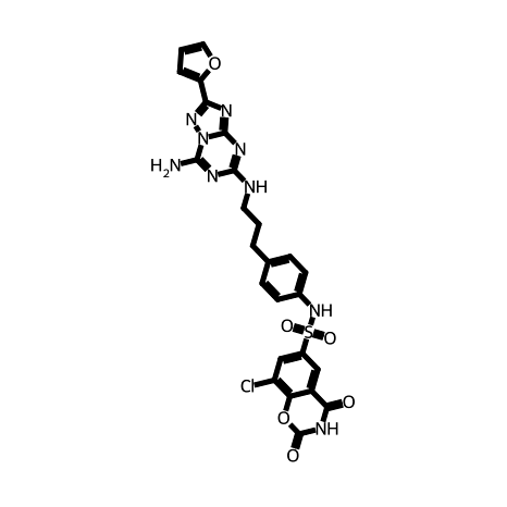 Nc1nc(NCCCc2ccc(NS(=O)(=O)c3cc(Cl)c4oc(=O)[nH]c(=O)c4c3)cc2)nc2nc(-c3ccco3)nn12